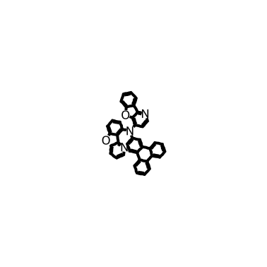 c1ccc2c(c1)oc1c(N(c3ccc4c5ccccc5c5ccccc5c4c3)c3cccc4oc5cccnc5c34)ccnc12